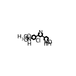 CCCn1cc(-c2cncc(-c3ccc(NS(C)(=O)=O)cc3Cl)c2)ccc1=O